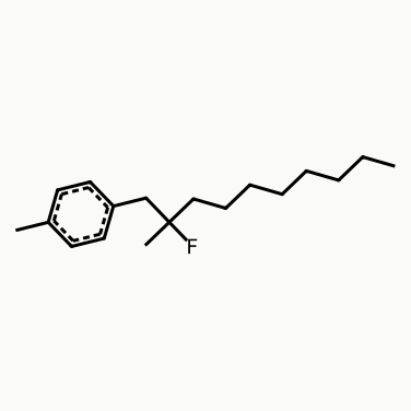 CCCCCCCCC(C)(F)Cc1ccc(C)cc1